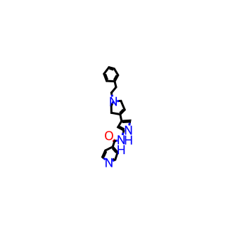 O=C(Nc1cc(C2=CCN(CCc3ccccc3)CC2)c[nH]1)c1ccncc1